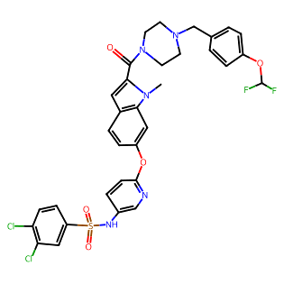 Cn1c(C(=O)N2CCN(Cc3ccc(OC(F)F)cc3)CC2)cc2ccc(Oc3ccc(NS(=O)(=O)c4ccc(Cl)c(Cl)c4)cn3)cc21